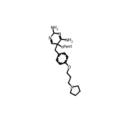 CCCCCC1(Cc2ccc(OCCCN3CCCC3)cc2)C=NC(N)N=C1N